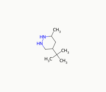 CC1CC(C(C)(C)C)CNN1